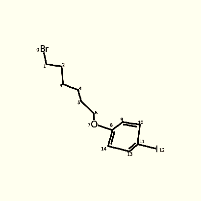 BrCCCCCCOc1ccc(I)cc1